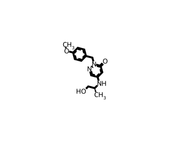 COc1ccc(Cn2ncc(N[C@@H](C)CO)cc2=O)cc1